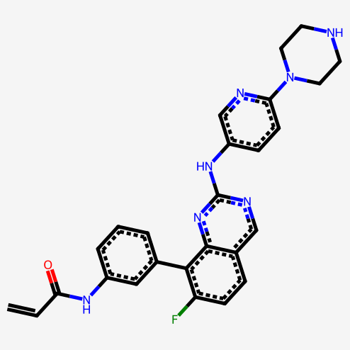 C=CC(=O)Nc1cccc(-c2c(F)ccc3cnc(Nc4ccc(N5CCNCC5)nc4)nc23)c1